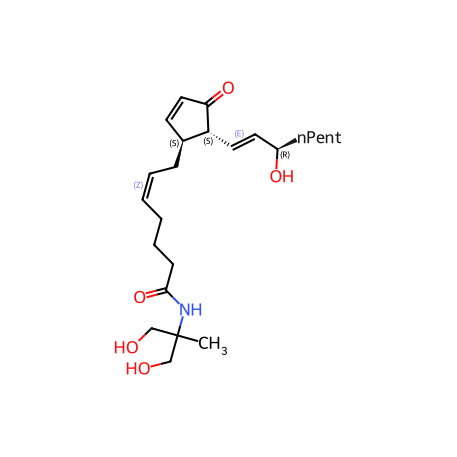 CCCCC[C@@H](O)/C=C/[C@H]1C(=O)C=C[C@@H]1C/C=C\CCCC(=O)NC(C)(CO)CO